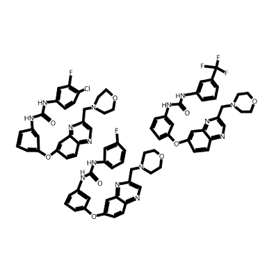 O=C(Nc1cccc(F)c1)Nc1cccc(Oc2ccc3ncc(CN4CCOCC4)nc3c2)c1.O=C(Nc1cccc(Oc2ccc3ncc(CN4CCOCC4)nc3c2)c1)Nc1ccc(Cl)c(F)c1.O=C(Nc1cccc(Oc2ccc3ncc(CN4CCOCC4)nc3c2)c1)Nc1cccc(C(F)(F)F)c1